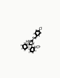 Cl.Clc1ccc(CSC2=N[C@H](c3ccccc3)[C@H](c3ccccc3)N2)cc1